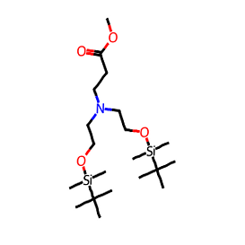 COC(=O)CCN(CCO[Si](C)(C)C(C)(C)C)CCO[Si](C)(C)C(C)(C)C